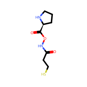 O=C(CCS)NOC(=O)[C@@H]1CCCN1